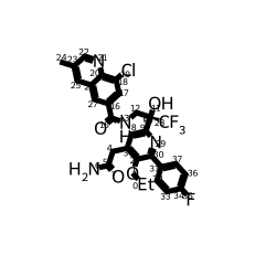 CCOc1c(CC(N)=O)cc([C@@](O)(CNC(=O)c2cc(Cl)c3ncc(C)cc3c2)C(F)(F)F)nc1-c1ccc(F)cc1